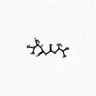 CCC(CC)C(C)OC(=O)CC(=O)OC(C)C(CC)CC